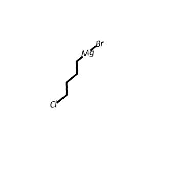 ClCCC[CH2][Mg][Br]